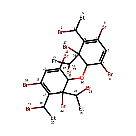 CCC(Br)C1=C(Br)C=C(Br)C(OC2C(Br)=CC(Br)=C(C(Br)CC)C2(Br)C(Br)CC)C1(Br)C(Br)CC